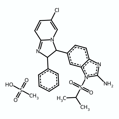 CC(C)S(=O)(=O)n1c(N)nc2ccc(C3C(c4ccccc4)N=C4C=CC(Cl)=CN43)cc21.CS(=O)(=O)O